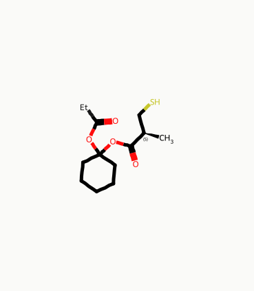 CCC(=O)OC1(OC(=O)[C@H](C)CS)CCCCC1